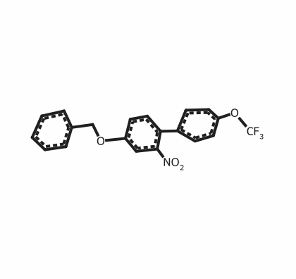 O=[N+]([O-])c1cc(OCc2ccccc2)ccc1-c1ccc(OC(F)(F)F)cc1